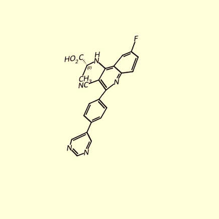 C[C@@H](Nc1c(C#N)c(-c2ccc(-c3cncnc3)cc2)nc2ccc(F)cc12)C(=O)O